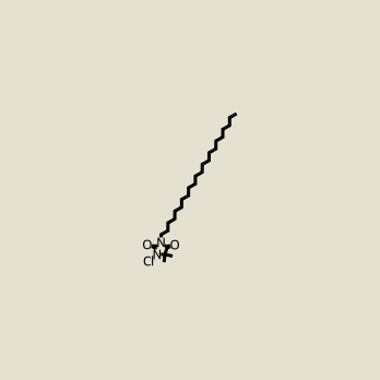 CCCCCCCCCCCCCCCCCCCCCCN1C(=O)N(Cl)C(C)(C)C1=O